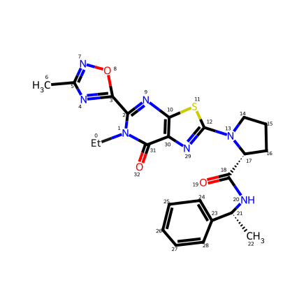 CCn1c(-c2nc(C)no2)nc2sc(N3CCC[C@@H]3C(=O)N[C@H](C)c3ccccc3)nc2c1=O